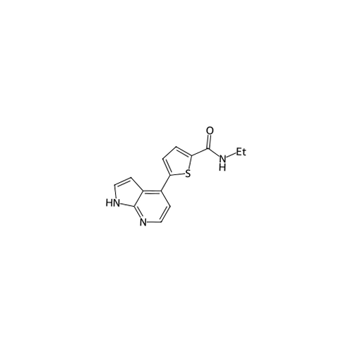 CCNC(=O)c1ccc(-c2ccnc3[nH]ccc23)s1